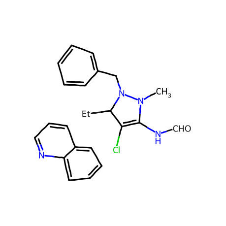 CCC1C(Cl)=C(NC=O)N(C)N1Cc1ccccc1.c1ccc2ncccc2c1